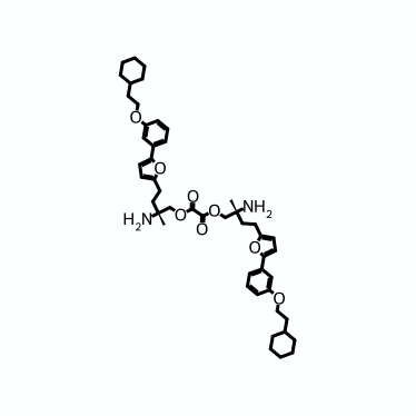 C[C@@](N)(CCc1ccc(-c2cccc(OCCC3CCCCC3)c2)o1)COC(=O)C(=O)OC[C@](C)(N)CCc1ccc(-c2cccc(OCCC3CCCCC3)c2)o1